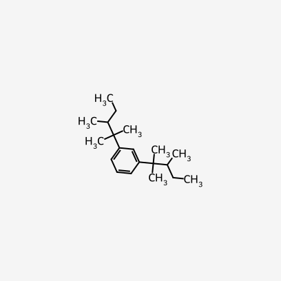 CCC(C)C(C)(C)c1cccc(C(C)(C)C(C)CC)c1